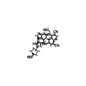 CC(C)(C)CNc1c(C#N)cnc2c(C#N)cc(N[C@H](C3=CN(C4CCN(C(C)(C)C)CC4)NN3)c3cccc4ncsc34)cc12